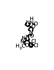 CC(O)c1ncnc2c1c(-c1cccc(Cl)c1Cl)cn2CC(=O)N1CCC2(CC1)OC(=O)Nc1ncccc12